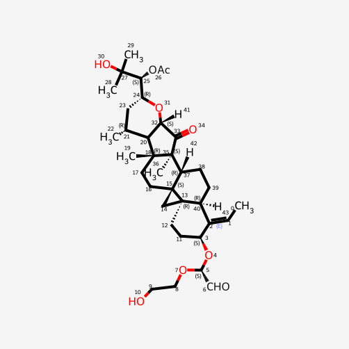 C/C=C1/[C@@H](O[C@@H](C=O)OCCO)CC[C@]23C[C@]24CC[C@]2(C)C5[C@H](C)C[C@H]([C@H](OC(C)=O)C(C)(C)O)O[C@@H]5C(=O)[C@@]2(C)[C@@H]4CC[C@@H]13